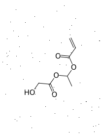 C=CC(=O)OC(C)OC(=O)CO